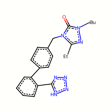 CCc1nn(C(C)CC)c(=O)n1Cc1ccc(-c2ccccc2-c2nnn[nH]2)cc1